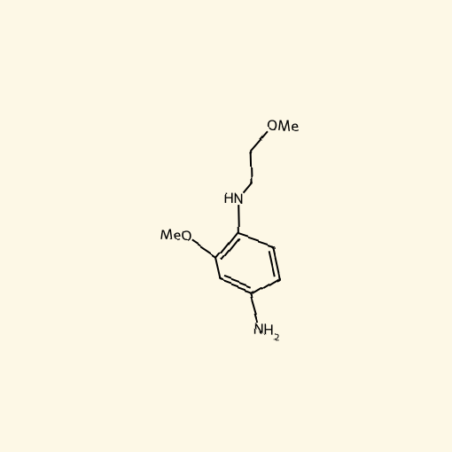 COCCNc1ccc(N)cc1OC